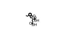 CCc1cccc2c1CN(C(CCC(=O)O)C(=O)O)C2=O